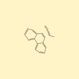 C=C=CC.c1ccc2c(c1)ccc1ccccc12